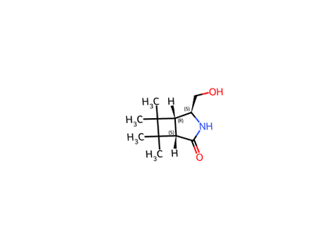 CC1(C)[C@@H]2[C@@H](CO)NC(=O)[C@@H]2C1(C)C